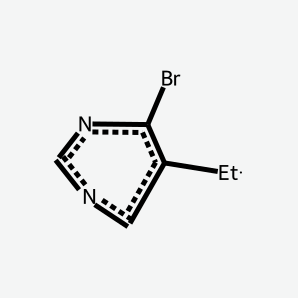 C[CH]c1cncnc1Br